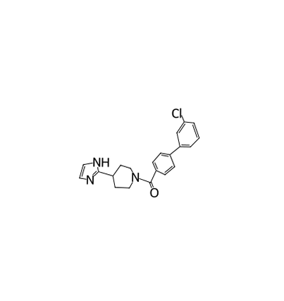 O=C(c1ccc(-c2cccc(Cl)c2)cc1)N1CCC(c2ncc[nH]2)CC1